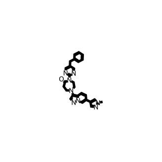 Cn1cc(-c2ccc3c(N4CCC(=O)N(c5ncc(Cc6ccccc6)cn5)CC4)cnn3c2)cn1